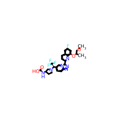 COCC(C)Oc1cc(F)cc2ccc(-c3nnc4ccc([C@@H](N5CCC(NC(=O)O)C5)C(F)(F)F)cn34)nc12